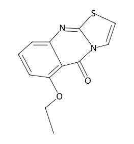 CCOc1cccc2nc3sccn3c(=O)c12